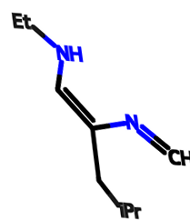 C=N/C(=C\NCC)CC(C)C